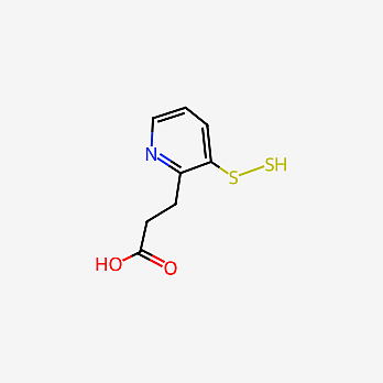 O=C(O)CCc1ncccc1SS